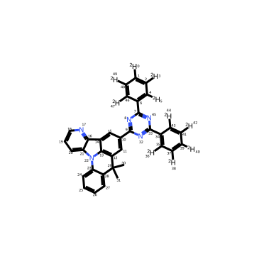 [2H]c1c([2H])c([2H])c(-c2nc(-c3cc4c5c(c3)c3ncccc3n5-c3ccccc3C4(C)C)nc(-c3c([2H])c([2H])c([2H])c([2H])c3[2H])n2)c([2H])c1[2H]